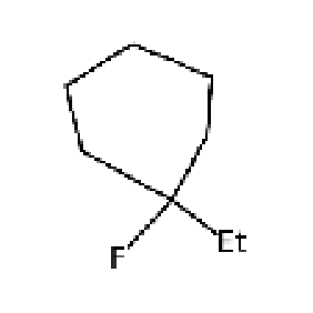 CCC1(F)CCCCC1